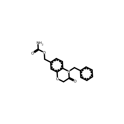 NC(=O)OCc1ccc2c(c1)OCC(=O)N2Cc1ccccc1